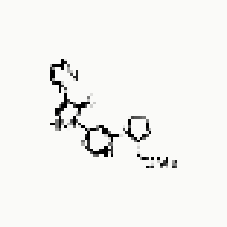 COC[C@H]1CCCN1c1cc(-n2[nH]cc(-n3ccnn3)c2=O)ncn1